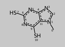 Cn1cnc2nc(S)nc(S)c21